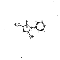 C[C]1C=C(O)N(c2ccccc2)N1